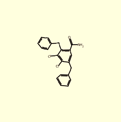 NC(=O)c1cc(Cc2ccccc2)c(Cl)c(Cl)c1Cc1ccccc1